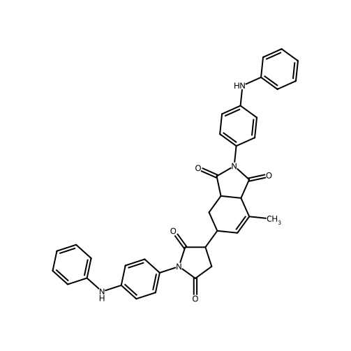 CC1=CC(C2CC(=O)N(c3ccc(Nc4ccccc4)cc3)C2=O)CC2C(=O)N(c3ccc(Nc4ccccc4)cc3)C(=O)C12